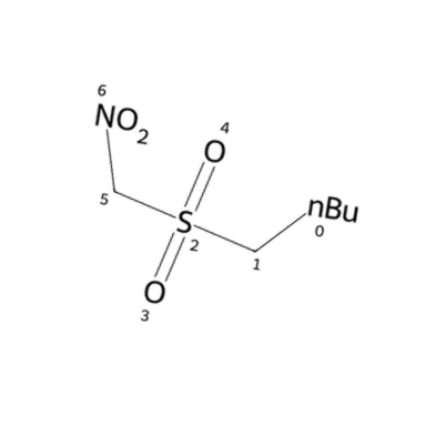 CCCCCS(=O)(=O)C[N+](=O)[O-]